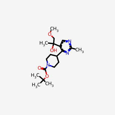 COCC(C)(O)c1cnc(C)nc1C1CCN(C(=O)OC(C)(C)C)CC1